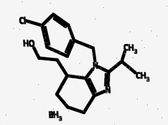 B.CC(C)c1nc2c(n1Cc1ccc(Cl)cc1)C(CCO)CCC2